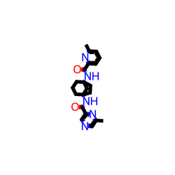 Cc1cccc(C(=O)NC23CCCC(NC(=O)c4cncc(C)n4)(CC2)C3)n1